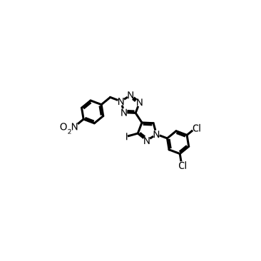 O=[N+]([O-])c1ccc(Cn2nnc(-c3cn(-c4cc(Cl)cc(Cl)c4)nc3I)n2)cc1